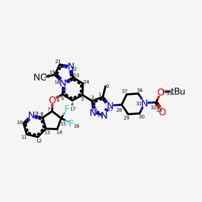 Cc1c(-c2cc(OC3c4ncccc4CC3(F)F)n3c(C#N)cnc3c2)nnn1C1CCN(C(=O)OC(C)(C)C)CC1